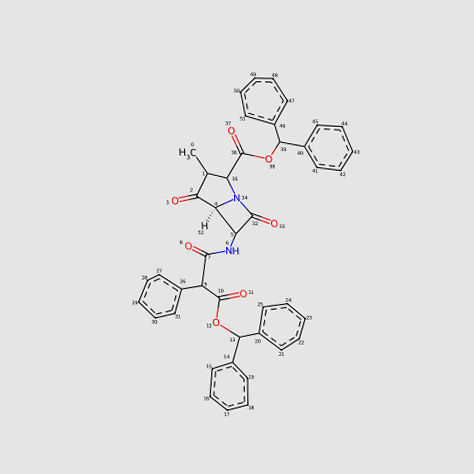 CC1C(=O)[C@@H]2C(NC(=O)C(C(=O)OC(c3ccccc3)c3ccccc3)c3ccccc3)C(=O)N2C1C(=O)OC(c1ccccc1)c1ccccc1